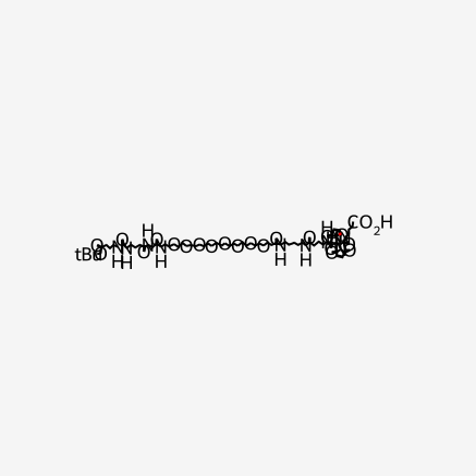 CC(C)(C)OC(=O)CCCNC(=O)NCCCC(=O)NCC(=O)NCCOCCOCCOCCOCCOCCOCCOCCOCCC(=O)NCCCCCNC(=O)CCCNC(=O)C(C(C(=O)NCCCC(=O)O)N1C(=O)C=CC1=O)N1C(=O)C=CC1=O